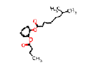 CCCC(=O)Oc1ccccc1OC(=O)CCCCCC(C)C